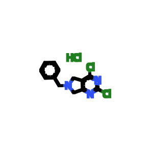 Cl.Clc1nc(Cl)c2c(n1)CN(Cc1ccccc1)C2